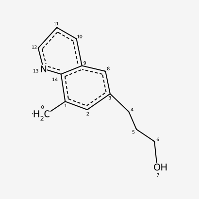 [CH2]c1cc(CCCO)cc2cccnc12